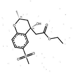 CCOC(=O)C[C@]1(O)C[C@@H](C)Oc2ccc(S(C)(=O)=O)cc21